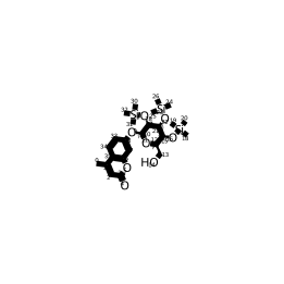 Cc1cc(=O)oc2cc(O[C@@H]3O[C@H](CO)[C@H](O[Si](C)(C)C)[C@H](O[Si](C)(C)C)[C@H]3O[Si](C)(C)C)ccc12